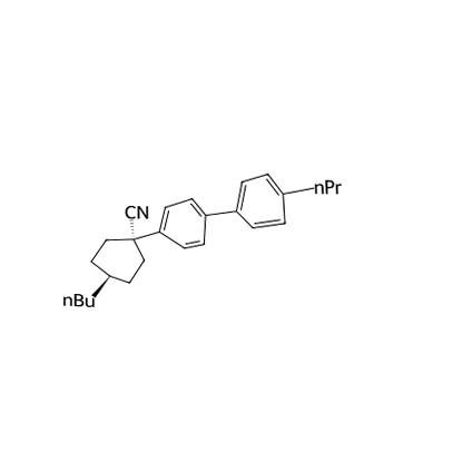 CCCC[C@H]1CC[C@@](C#N)(c2ccc(-c3ccc(CCC)cc3)cc2)CC1